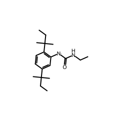 CCNC(=O)[N]c1cc(C(C)(C)CC)ccc1C(C)(C)CC